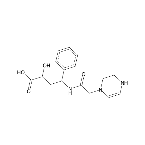 O=C(CN1C=CNCC1)NC(CC(O)C(=O)O)c1ccccc1